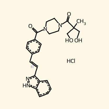 CC(CO)(CO)C(=O)N1CCN(C(=O)c2ccc(/C=C/c3n[nH]c4ccccc34)cc2)CC1.Cl